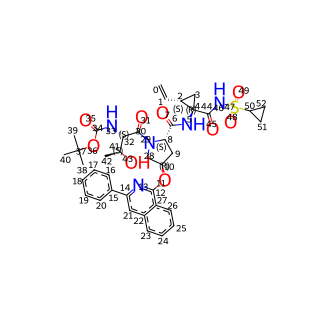 C=C[C@@H]1C[C@]1(NC(=O)[C@@H]1C[C@@H](Oc2nc(-c3ccccc3)cc3ccccc23)CN1C(=O)[C@@H](NC(=O)OC(C)(C)C)[C@H](C)O)C(=O)NS(=O)(=O)C1CC1